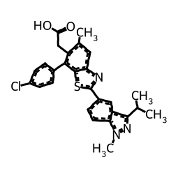 Cc1cc2nc(-c3ccc4c(c3)c(C(C)C)nn4C)sc2c(-c2ccc(Cl)cc2)c1CC(=O)O